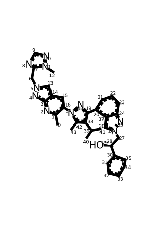 Cc1nc2nn(Cc3ncnn3C)cc2cc1-n1nc(-c2cccc3nn(C[C@H](O)c4ccccc4)cc23)c(C(C)C)c1C